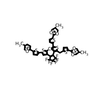 Cc1sc(-c2ccc(C34CCC(C)(CO3)CO4)s2)cc1C1=C(c2cc(-c3ccc(C45OCC(C)(CO4)CO5)s3)sc2Cc2ccc(C34OCC(C)(CO3)CO4)s2)C(F)(F)C(F)(F)C1(F)F